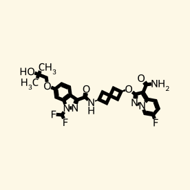 CC(C)(O)COc1ccc2c(C(=O)N[C@H]3CC4(C3)C[C@H](Oc3nn5cc(F)ccc5c3C(N)=O)C4)nn(C(F)F)c2c1